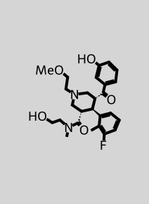 COCCN1C[C@H](C(=O)c2cccc(O)c2)[C@@H](c2cccc(F)c2C)[C@H](C(=O)N(C)CCO)C1